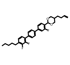 C=CCCC1COC(c2ccc(-c3ccc(-c4ccc(CCCCC)c(F)c4F)cc3)cc2F)OC1